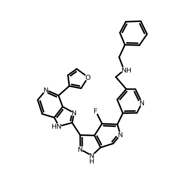 Fc1c(-c2cncc(CNCc3ccccc3)c2)ncc2[nH]nc(-c3nc4c(-c5ccoc5)nccc4[nH]3)c12